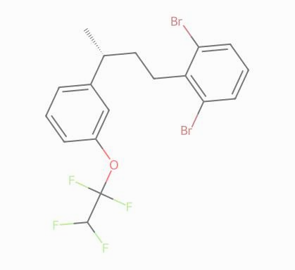 C[C@H](CCc1c(Br)cccc1Br)c1cccc(OC(F)(F)C(F)F)c1